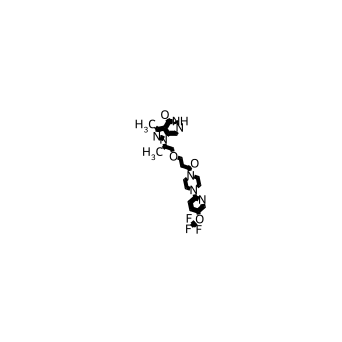 Cc1nn(C(C)COCCC(=O)N2CCN(c3ccc(OC(F)(F)F)cn3)CC2)c2cn[nH]c(=O)c12